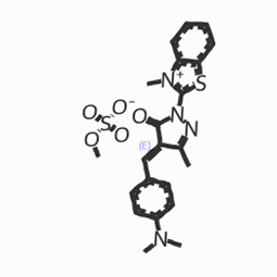 CC1=NN(c2sc3ccccc3[n+]2C)C(=O)/C1=C/c1ccc(N(C)C)cc1.COS(=O)(=O)[O-]